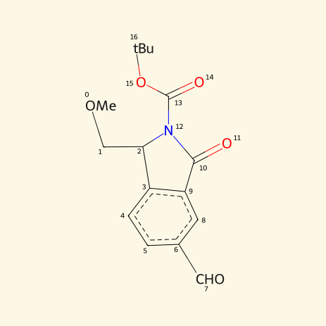 COCC1c2ccc(C=O)cc2C(=O)N1C(=O)OC(C)(C)C